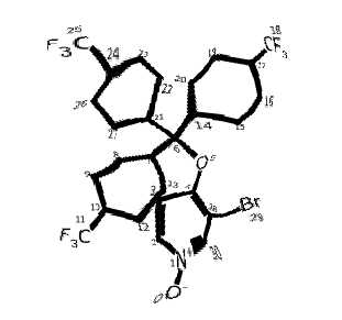 [O-][n+]1ccc(OC(C2CCC(C(F)(F)F)CC2)(C2CCC(C(F)(F)F)CC2)C2CCC(C(F)(F)F)CC2)c(Br)c1